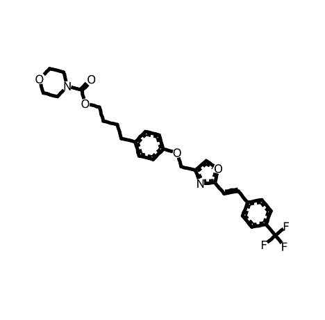 O=C(OCCCCc1ccc(OCc2coc(/C=C/c3ccc(C(F)(F)F)cc3)n2)cc1)N1CCOCC1